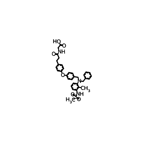 Cc1c(NS(C)(=O)=O)cccc1N(Cc1ccccc1)Cc1ccc(Oc2ccc(CCC(=O)NCC(=O)O)cc2)cc1